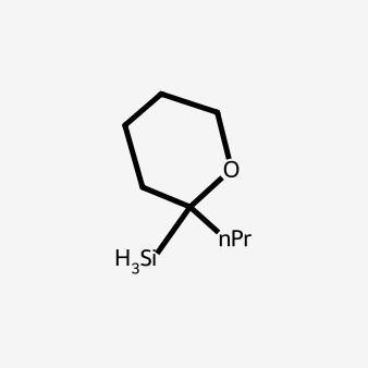 [CH2]CCC1([SiH3])CCCCO1